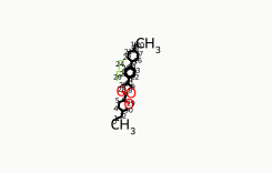 CCCC1CCC(C2OCC(c3ccc(C4CCC(CC)CC4)c(F)c3F)CO2)OC1